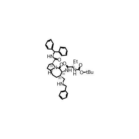 CC[C@H](NC(=O)OC(C)(C)C)C(=O)N[C@@H]1C(=O)N2[C@@H](CC[C@@H]1CNCc1ccccc1)CC[C@H]2C(=O)NC(c1ccccc1)c1ccccc1